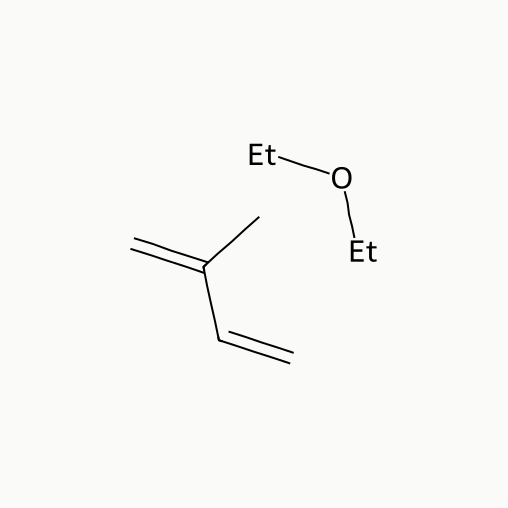 C=CC(=C)C.CCOCC